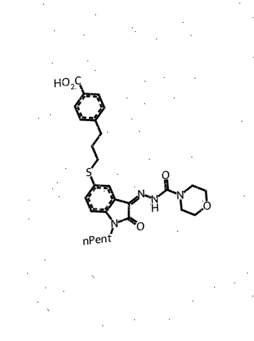 CCCCCN1C(=O)C(=NNC(=O)N2CCOCC2)c2cc(SCCCc3ccc(C(=O)O)cc3)ccc21